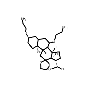 CC(C)[C@H]1CC[C@H]2C3[C@H](OCCN)CC4C[C@H](OCCN)CC[C@]4(C)[C@H]3CC3(OCCO3)[C@]12C